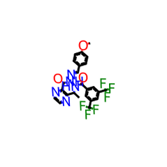 COc1ccc(C=NNC(=O)c2nccnc2C(C)NC(=O)c2cc(C(F)(F)F)cc(C(F)(F)F)c2)cc1